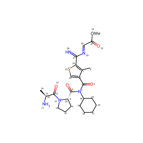 [CH2]c1c(C(=O)N(C(=O)[C@@H]2CCCN2C(=O)[C@H](C)N)C2CCCCC2)csc1C(=N)N=CC(=O)OC